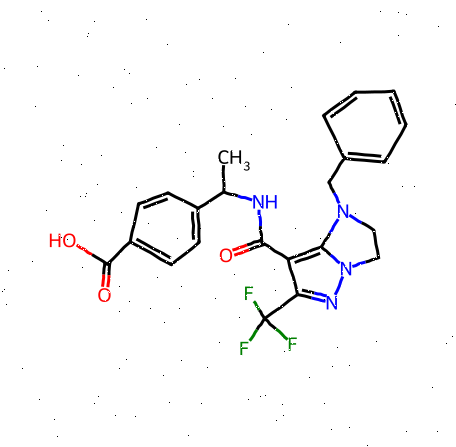 CC(NC(=O)c1c(C(F)(F)F)nn2c1N(Cc1ccccc1)CC2)c1ccc(C(=O)O)cc1